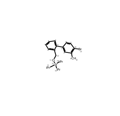 Cc1cc(-c2ccccc2CO[Si](C(C)C)(C(C)C)C(C)C)ccc1Br